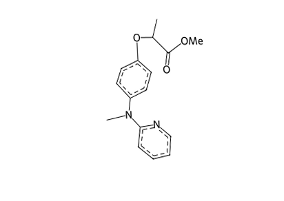 COC(=O)C(C)Oc1ccc(N(C)c2ccccn2)cc1